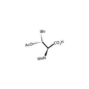 CC[C@@H](C)[C@@H](OC(C)=O)[C@H](NC)C(=O)O